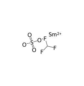 FC(F)F.O=S(=O)([O-])[O-].[Sm+2]